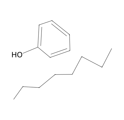 CCCCCCCC.Oc1ccccc1